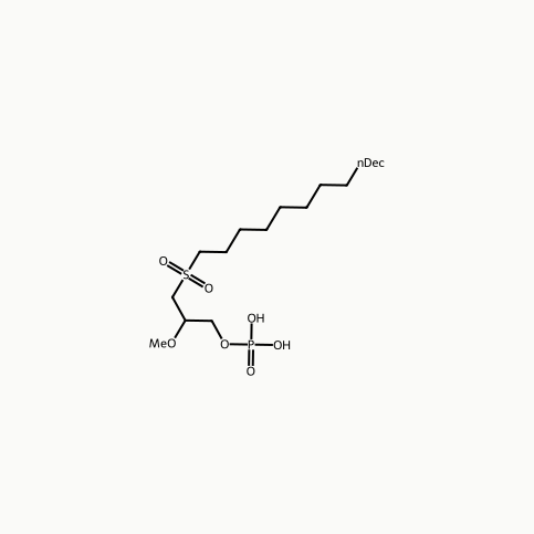 CCCCCCCCCCCCCCCCCCS(=O)(=O)CC(COP(=O)(O)O)OC